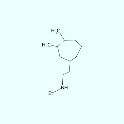 CCNCCC1CCCC(C)C(C)C1